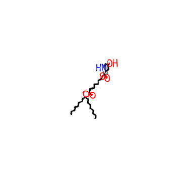 CCCCCCCCC(CCCCCCCC)OC(=O)CCCCCCOC(=O)[C@@H]1CC(O)CN1